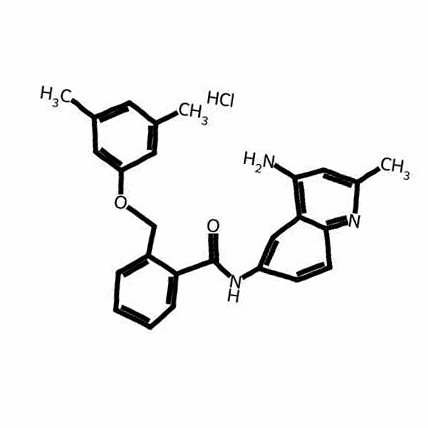 Cc1cc(C)cc(OCc2ccccc2C(=O)Nc2ccc3nc(C)cc(N)c3c2)c1.Cl